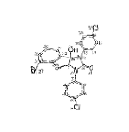 C[C@@H]1N(c2ccc(Cl)cc2)C(=O)N(c2ccc(Cl)cc2)C1(O)c1cccc(Br)c1